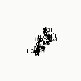 C#Cc1c(F)ccc2cc(O)cc(-c3ncc4c(N5CC6CCC(C5)N6)nc(OCCC5CC(CC6CCN6c6cc(C(C(=O)C7C(O)CNC7C(=O)N[C@@H](C)c7ccc(-c8scnc8C)cc7)C(C)C)on6)CCN5)nc4c3F)c12